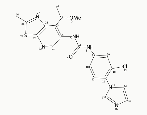 CO[C@@H](C)c1c(NC(=O)Nc2ccc(-n3ccnc3)c(Cl)c2)cnc2sc(C)nc12